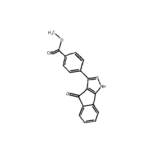 COC(=O)c1ccc(-c2n[nH]c3c2C(=O)c2ccccc2-3)cc1